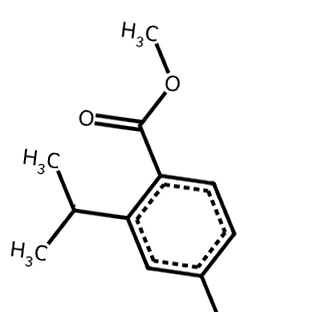 COC(=O)c1ccc(Cl)cc1[C](C)C